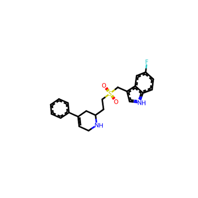 O=S(=O)(CCC1CC(c2ccccc2)=CCN1)Cc1c[nH]c2ccc(F)cc12